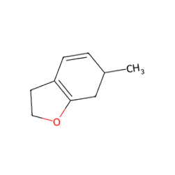 CC1C=CC2=C(C1)OCC2